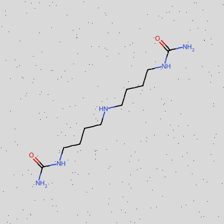 NC(=O)NCCCCNCCCCNC(N)=O